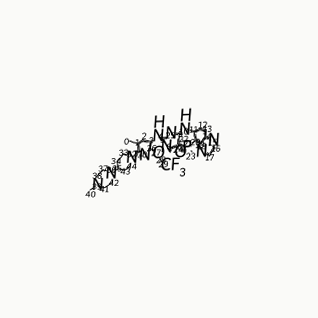 Cc1cc(Nc2nccc(Nc3ccc4nccnc4c3P(C)(C)=O)n2)c(OCC(F)(F)F)nc1N1CCC(N2CCN(C)CC2)CC1